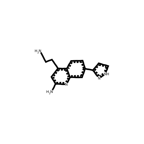 NCCc1cc(N)nc2cc(-c3cc[nH]n3)ccc12